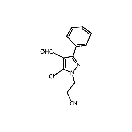 N#CCCn1nc(-c2ccccc2)c(C=O)c1Cl